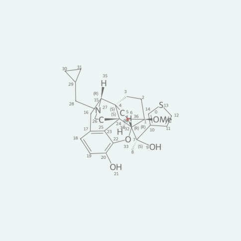 CO[C@]12CC[C@@]3(C[C@@H]1[C@](C)(O)c1ccsc1)[C@H]1Cc4ccc(O)c5c4[C@@]3(CCN1CC1CC1)[C@H]2O5